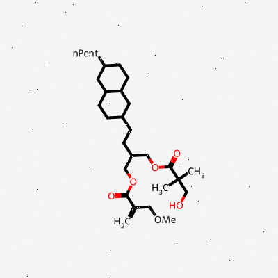 C=C(COC)C(=O)OCC(CCC1CCC2CC(CCCCC)CCC2C1)COC(=O)C(C)(C)CO